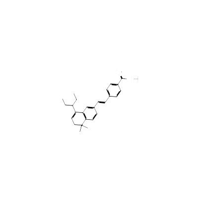 CCC(CC)C1=CCC(C)(C)c2ccc(/C=C/c3ccc(C(=O)O)cc3)cc21